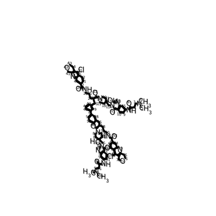 CN(C)CCC(=O)Nc1ccc2c(=O)n(CC3(O)CCN(C(=O)C(CCCNC(=O)c4ccc5c(Cl)c6c(nc5c4)COCC6)Cc4cccc(-c5cccc(CC(CCCNC(=O)c6ccc7c(Cl)c8c(nc7c6)CCOC8)C(=O)N6CCC(O)(Cn7cnc8cc(NC(=O)CCN(C)C)ccc8c7=O)CC6)c5)c4)CC3)cnc2c1